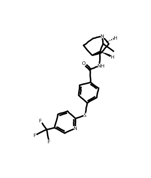 C[C@H]1[C@H](NC(=O)c2ccc(Sc3ccc(C(F)(F)F)cn3)cc2)C2CCN1CC2